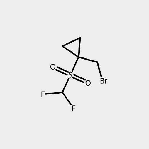 O=S(=O)(C(F)F)C1(CBr)CC1